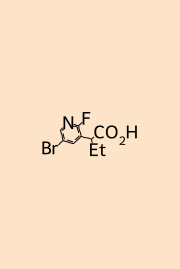 CCC(C(=O)O)c1cc(Br)cnc1F